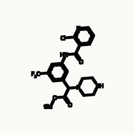 CC(C)(C)OC(=O)C(c1cc(NC(=O)c2cccnc2Cl)cc(C(F)(F)F)c1)N1CCNCC1